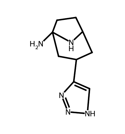 NC12CCC(CC(c3c[nH]nn3)C1)N2